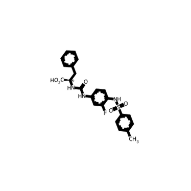 Cc1ccc(S(=O)(=O)Nc2ccc(NC(=O)N[C@H](Cc3ccccc3)C(=O)O)cc2F)cc1